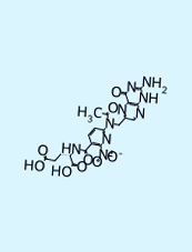 CC(=O)N(Cc1cnc2[nH]c(N)nc(=O)c2n1)c1ccc(C(=O)N[C@@H](CCC(=O)O)C(=O)O)c([N+](=O)[O-])n1